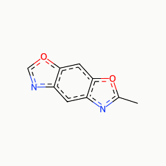 Cc1nc2cc3ncoc3cc2o1